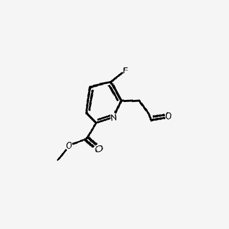 COC(=O)c1ccc(F)c(CC=O)n1